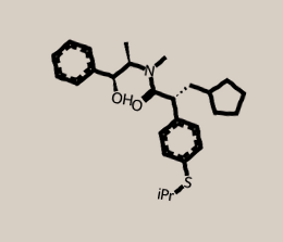 CC(C)Sc1ccc([C@@H](CC2CCCC2)C(=O)N(C)[C@H](C)[C@@H](O)c2ccccc2)cc1